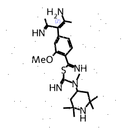 COc1cc(/C(C(C)=N)=C(\C)N)ccc1C(=N)SC(=N)N(C)C1CC(C)(C)NC(C)(C)C1